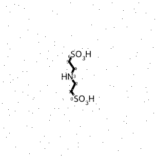 O=S(=O)(O)CCNCCS(=O)(=O)O